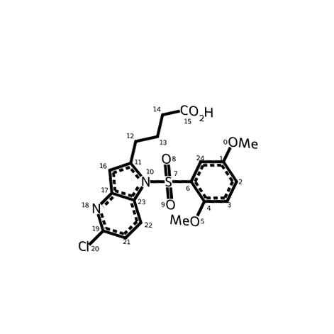 COc1ccc(OC)c(S(=O)(=O)n2c(CCCC(=O)O)cc3nc(Cl)ccc32)c1